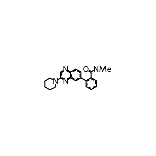 CNC(=O)c1ccccc1-c1ccc2ncc(N3CCCCC3)nc2c1